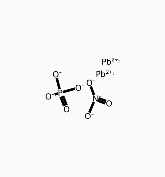 O=P([O-])([O-])[O-].O=[N+]([O-])[O-].[Pb+2].[Pb+2]